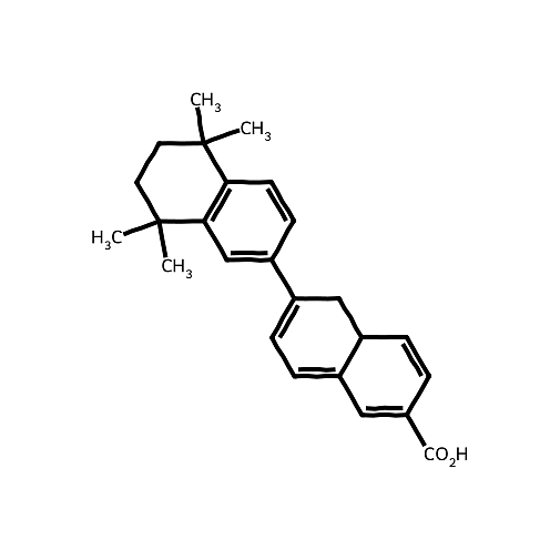 CC1(C)CCC(C)(C)c2cc(C3=CC=C4C=C(C(=O)O)C=CC4C3)ccc21